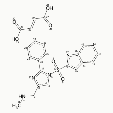 CNCc1cn(S(=O)(=O)c2cc3ccccc3s2)c(-c2ccccc2)n1.O=C(O)C=CC(=O)O